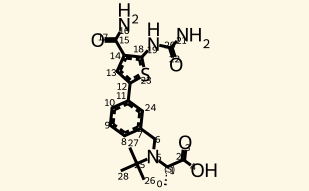 C[C@@H](C(=O)O)N(Cc1cccc(-c2cc(C(N)=O)c(NC(N)=O)s2)c1)C(C)(C)C